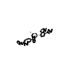 C[C@@H]1C[C@H](c2ccc(C3=NC3)c3ncccc23)CN(C(=O)c2ccc(N3CCC3)nc2)C1